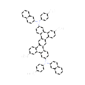 Cc1ccc(N(c2ccc3ccccc3c2)c2ccc3c(c2)c2cc(C(C)(C)C)ccc2c2cc4c5ccc(N(c6ccc(C)cc6)c6ccc7ccccc7c6)cc5c5cc(C(C)(C)C)ccc5c4cc32)cc1